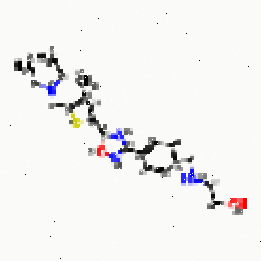 CCN(CC)Cc1sc(-c2nc(-c3ccc(CNCCO)cc3)no2)cc1C